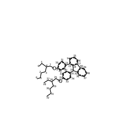 CCCCC(CC)COc1ccc(-c2cccc3c2C(c2ccc(OCC(CC)CCCC)cc2)c2ccccc2-3)cc1